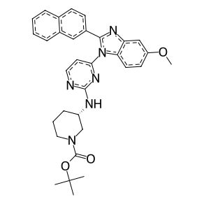 COc1ccc2c(c1)nc(-c1ccc3ccccc3c1)n2-c1ccnc(N[C@H]2CCCN(C(=O)OC(C)(C)C)C2)n1